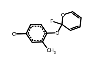 Cc1cc(Cl)ccc1OC1(F)C=CC=CO1